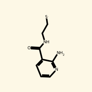 Nc1ncccc1C(=O)NCC[S]